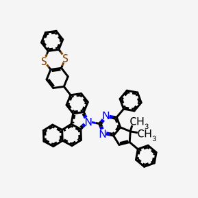 CC1(C)C(c2ccccc2)=Cc2nc(-n3c4ccc(C5C=CC6=C(C5)Sc5ccccc5S6)cc4c4c5ccccc5ccc43)nc(-c3ccccc3)c21